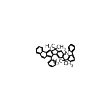 CC1(C)c2cc3c(cc2-c2c1cc1c(ccc4ccccc41)c2-c1ccccc1)C(C)(C)c1cccc2c4ccccc4n-3c12